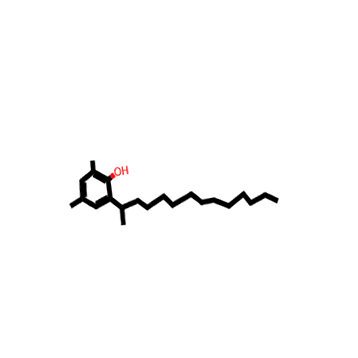 CCCCCCCCCCCCC(C)c1cc(C)cc(C)c1O